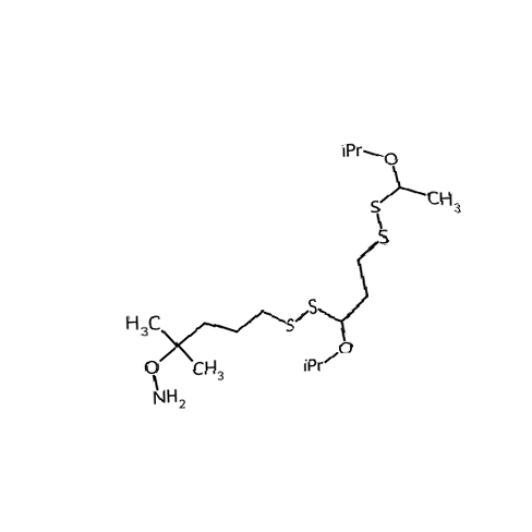 CC(C)OC(C)SSCCC(OC(C)C)SSCCCC(C)(C)ON